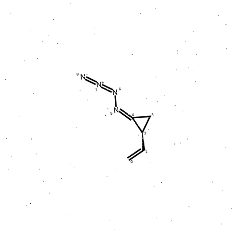 C=C[C@@H]1CC1=NN=[N+]=[N-]